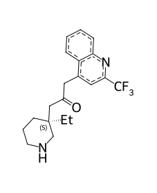 CC[C@@]1(CC(=O)Cc2cc(C(F)(F)F)nc3ccccc23)CCCNC1